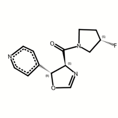 O=C([C@H]1N=CO[C@@H]1c1ccncc1)N1CC[C@H](F)C1